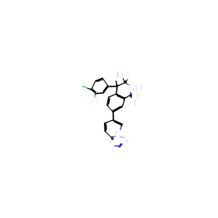 [2H]C1([2H])NC([2H])([2H])C([2H])(c2ccc(Cl)c(Cl)c2)c2ccc(-c3ccc4ncnn4c3)cc21